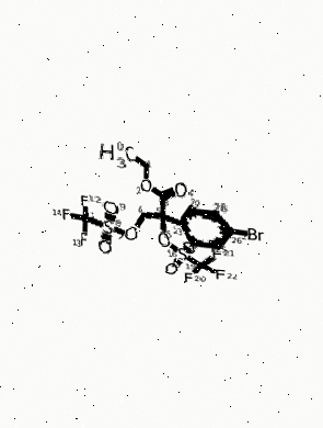 CCOC(=O)C(COS(=O)(=O)C(F)(F)F)(OS(=O)(=O)C(F)(F)F)c1ccc(Br)cc1